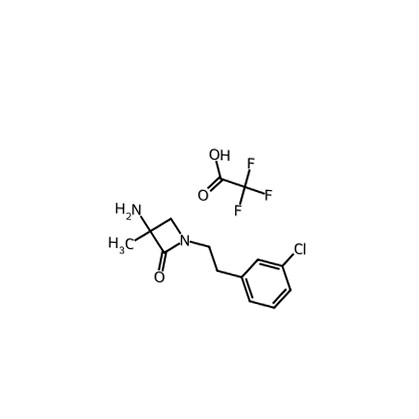 CC1(N)CN(CCc2cccc(Cl)c2)C1=O.O=C(O)C(F)(F)F